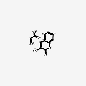 C=CC(=O)O.O=c1oc2ccccc2cc1O